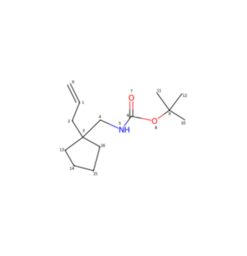 C=CCC1(CNC(=O)OC(C)(C)C)CCCC1